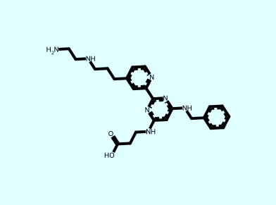 NCCNCCCc1ccnc(-c2nc(NCCC(=O)O)cc(NCc3ccccc3)n2)c1